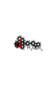 CC1(C)c2ccccc2-c2ccc(-c3ccc(N(c4ccccc4-c4cccc5cccc(C6CCCCC6)c45)c4cccc5c4oc4ccccc45)cc3)cc21